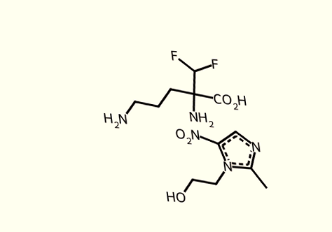 Cc1ncc([N+](=O)[O-])n1CCO.NCCCC(N)(C(=O)O)C(F)F